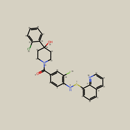 O=C(c1ccc(NSc2cccc3cccnc23)c(F)c1)N1CCC(O)(c2ccccc2Cl)CC1